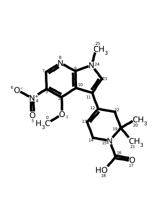 COc1c([N+](=O)[O-])cnc2c1c(C1=CCN(C(=O)O)C(C)(C)C1)cn2C